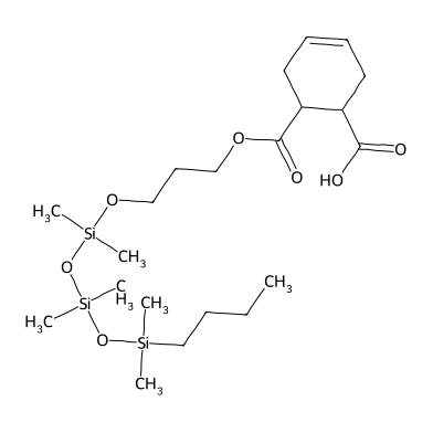 CCCC[Si](C)(C)O[Si](C)(C)O[Si](C)(C)OCCCOC(=O)C1CC=CCC1C(=O)O